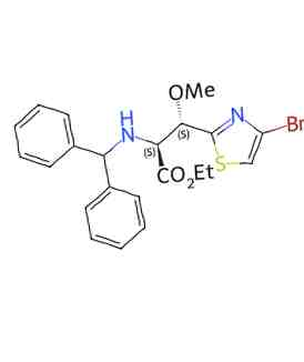 CCOC(=O)[C@@H](NC(c1ccccc1)c1ccccc1)[C@H](OC)c1nc(Br)cs1